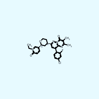 CCn1cc([C@@H]2C[C@H](c3cc(-c4ccc(Cl)cc4F)c4nc(C)c(C)c(=O)n4n3)CCO2)ccc1=O